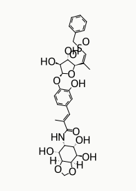 C/C(=C/S(=O)(=O)Cc1ccccc1)[C@H]1O[C@@H](Oc2ccc(/C=C(\C)C(=O)N[C@@H]3[C@H](O)[C@@H](O)[C@H]4OCO[C@H]4[C@@H]3O)cc2O)[C@@H](O)[C@@H]1O